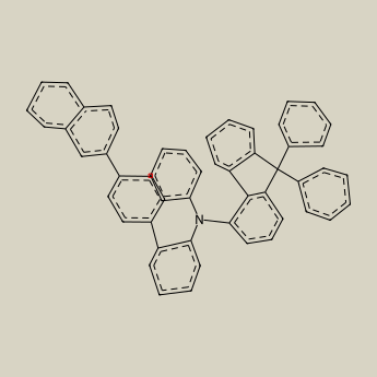 c1ccc(N(c2ccccc2-c2ccc(-c3ccc4ccccc4c3)cc2)c2cccc3c2-c2ccccc2C3(c2ccccc2)c2ccccc2)cc1